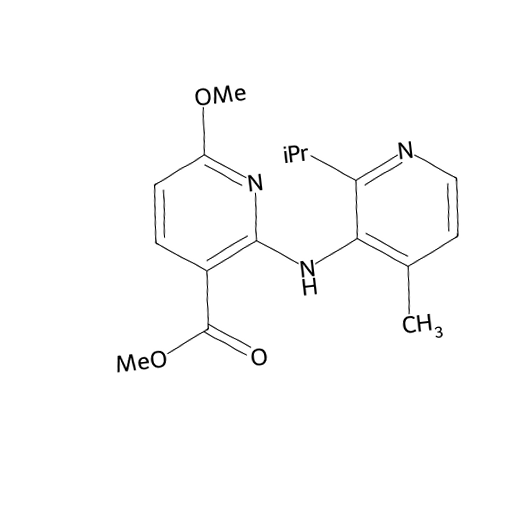 COC(=O)c1ccc(OC)nc1Nc1c(C)ccnc1C(C)C